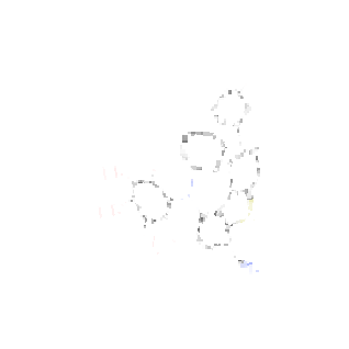 Bc1c(B)c(B)c(N(c2ccccc2)c2ccc(C#N)c3sc4ccc(-c5cccc(Br)c5)cc4c23)c(B)c1B